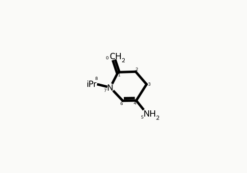 C=C1CCC(N)=CN1C(C)C